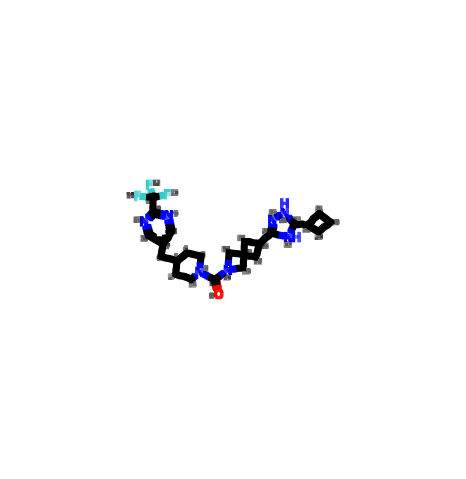 O=C(N1CCC(Cc2cnc(C(F)(F)F)nc2)CC1)N1CC2(CC(C3=NNC(C4CCC4)N3)C2)C1